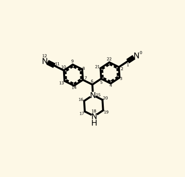 N#Cc1ccc(C(c2ccc(C#N)cc2)N2CCNCC2)cc1